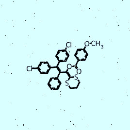 COc1ccc(C(=O)OC(=C2SCCCS2)C(=C(c2ccc(Cl)cc2)c2ccc(Cl)cc2)c2ccccc2)cc1